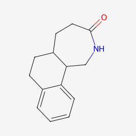 O=C1CCC2CCc3ccccc3C2CN1